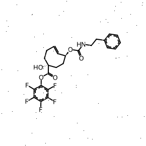 O=C(NCCc1ccccc1)O[C@@H]1/C=C/CC[C@](O)(C(=O)Oc2c(F)c(F)c(F)c(F)c2F)CC1